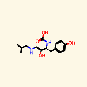 CC(C)CNC[C@H](O)[C@H](Cc1ccc(O)cc1)NC(=O)O